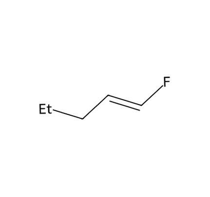 CCC/C=C/F